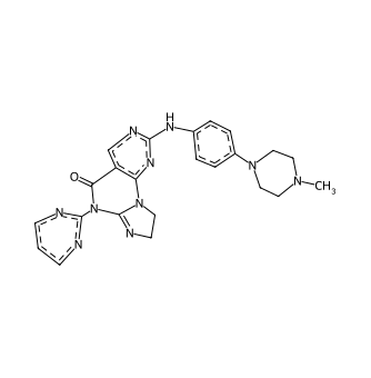 CN1CCN(c2ccc(Nc3ncc4c(n3)N3CCN=C3N(c3ncccn3)C4=O)cc2)CC1